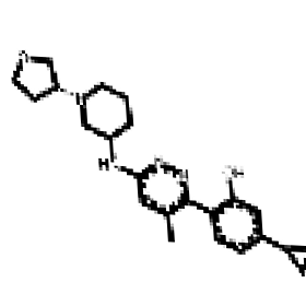 Cc1cc(N[C@@H]2CCCN([C@@H]3CCOC3)C2)nnc1-c1ccc(C2CC2)cc1O